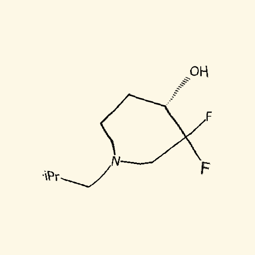 C[C](C)CN1CC[C@H](O)C(F)(F)C1